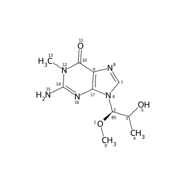 CO[C@H](C(C)O)n1cnc2c(=O)n(C)c(N)nc21